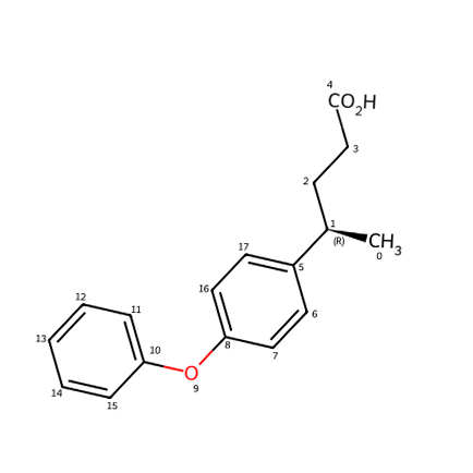 C[C@H](CCC(=O)O)c1ccc(Oc2ccccc2)cc1